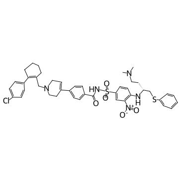 CN(C)CC[C@H](CSc1ccccc1)Nc1ccc(S(=O)(=O)NC(=O)c2ccc(C3=CCN(CC4=C(c5ccc(Cl)cc5)CCCC4)CC3)cc2)cc1[N+](=O)[O-]